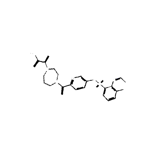 C=C(OC)C(=C)N1CCCN(C(=C)c2ccc(NS(=O)(=O)c3cccc(C)c3/N=C\C)cn2)CC1